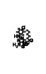 CCCCCC(=O)O.Nc1nc(Nc2ccc(Cl)cc2)ncc1[N+](=O)[O-]